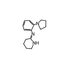 c1ccc(N2CCCC2)c(/N=C2\CCCCN2)c1